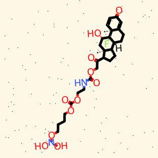 C[C@]12C[C@H](O)C3(F)[C@@H](CCC4=CC(=O)C=C[C@@]43C)C1CCC2C(=O)COC(=O)NCCOC(=O)OCCCCON(O)O